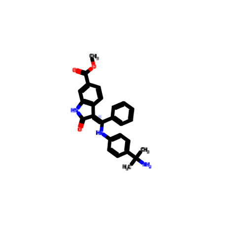 COC(=O)c1ccc2c(c1)NC(=O)/C2=C(\Nc1ccc(C(C)(C)N)cc1)c1ccccc1